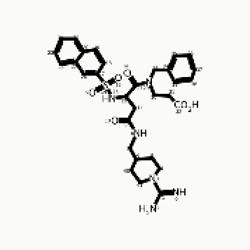 N=C(N)N1CCC(CNC(=O)CC(NS(=O)(=O)c2ccc3ccccc3c2)C(=O)N(CCC(=O)O)Cc2ccccc2)CC1